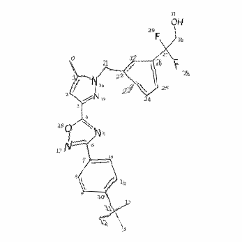 Cc1cc(-c2nc(-c3ccc(C(C)(C)C)cc3)no2)nn1Cc1cccc(C(F)(F)CO)c1